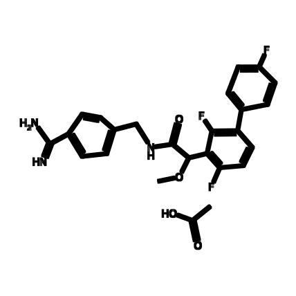 CC(=O)O.COC(C(=O)NCc1ccc(C(=N)N)cc1)c1c(F)ccc(-c2ccc(F)cc2)c1F